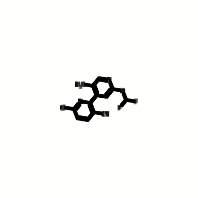 Cc1cnc(OC(F)F)cc1-c1nc(Cl)ccc1C#N